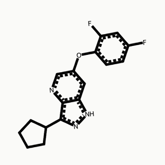 Fc1ccc(Oc2cnc3c(C4CCCC4)n[nH]c3c2)c(F)c1